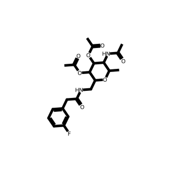 CC(=O)NC1C(C)OC(CNC(=O)Cc2cccc(F)c2)C(OC(C)=O)C1OC(C)=O